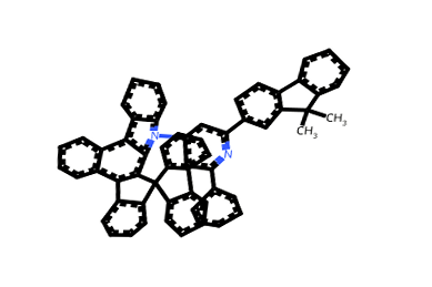 CC1(C)c2ccccc2-c2ccc(-c3cc(-n4c5ccccc5c5c6ccccc6c6c(c54)C4(c5ccccc5-c5ccccc54)c4ccccc4-6)cc(-c4ccccc4)n3)cc21